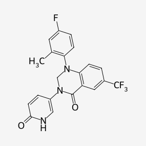 Cc1cc(F)ccc1N1CN(c2ccc(=O)[nH]c2)C(=O)c2cc(C(F)(F)F)ccc21